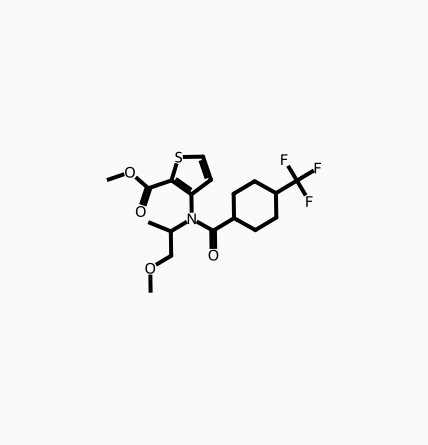 COCC(C)N(C(=O)C1CCC(C(F)(F)F)CC1)c1ccsc1C(=O)OC